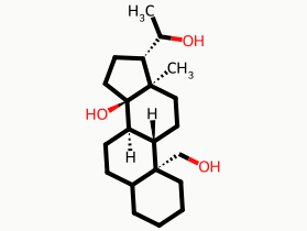 CC(O)[C@H]1CC[C@@]2(O)[C@@H]3CCC4CCCC[C@]4(CO)[C@H]3CC[C@]12C